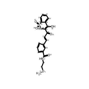 COCCNC(=O)c1cccc(/C=C/C(=O)C2=C(O)c3ccccc3S(=O)(=O)N2)c1